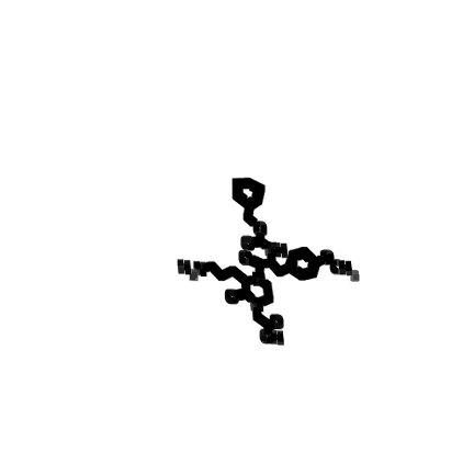 COc1ccc(CC(NC(=O)OCc2ccccc2)C(=O)N2CCN(CC(=O)O)C(=O)C2CCCN)cc1